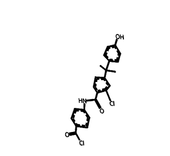 CC(C)(c1ccc(O)cc1)c1ccc(C(=O)Nc2ccc(C(=O)Cl)cc2)c(Cl)c1